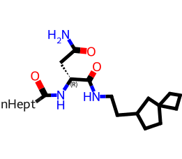 CCCCCCCC(=O)N[C@H](CC(N)=O)C(=O)NCCC1CCC2(CCC2)C1